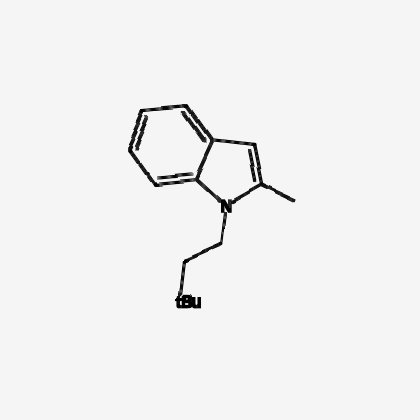 Cc1cc2ccccc2n1CCC(C)(C)C